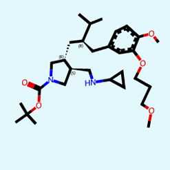 COCCCOc1cc(C[C@@H](C[C@H]2CN(C(=O)OC(C)(C)C)C[C@@H]2CNC2CC2)C(C)C)ccc1OC